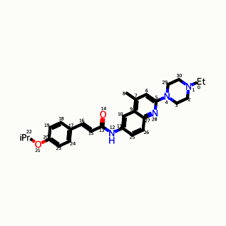 CCN1CCN(c2cc(C)c3cc(NC(=O)C=Cc4ccc(OC(C)C)cc4)ccc3n2)CC1